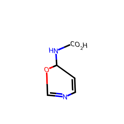 O=C(O)NC1C=CN=CO1